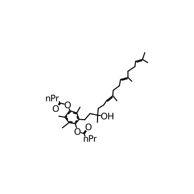 CCCC(=O)Oc1c(C)c(C)c(OC(=O)CCC)c(CCC(C)(O)CC/C=C(\C)CC/C=C(\C)CCC=C(C)C)c1C